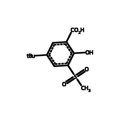 CC(C)(C)c1cc(C(=O)O)c(O)c(S(C)(=O)=O)c1